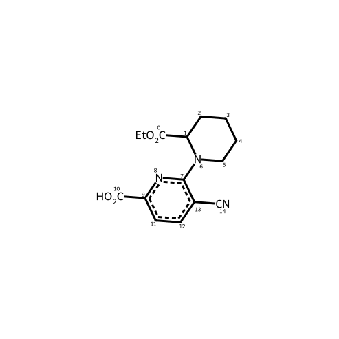 CCOC(=O)C1CCCCN1c1nc(C(=O)O)ccc1C#N